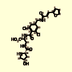 O=C(/C=C/c1ccco1)NCc1cc(Cl)c(C(=O)N[C@@H](CNC(=O)[C@@H]2C[C@H](O)CN2)C(=O)O)c(Cl)c1